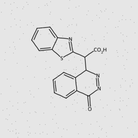 O=C1N=NC(C(C(=O)O)c2nc3ccccc3s2)c2ccccc21